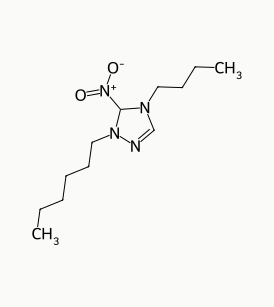 CCCCCCN1N=CN(CCCC)C1[N+](=O)[O-]